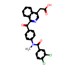 CN(C(=O)c1ccc(Cl)c(Cl)c1)c1ccc(C(=O)c2ncc(CC(=O)O)c3ccccc23)cc1